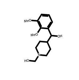 COc1cccc(C(O)C2CCN(CO)CC2)c1OC